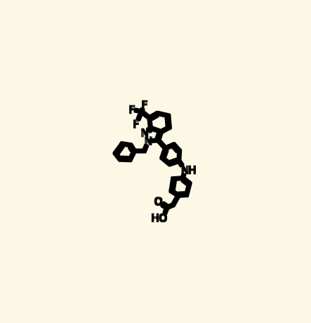 O=C(O)Cc1ccc(Nc2ccc(-c3c4cccc(C(F)(F)F)c4nn3Cc3ccccc3)cc2)cc1